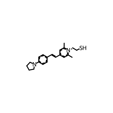 Cc1cc(/C=C/c2ccc(N3CCCC3)cc2)cc(C)[n+]1CCS